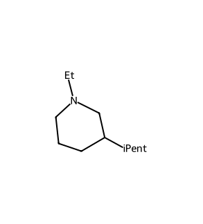 CCCC(C)C1CCCN(CC)C1